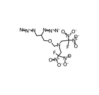 [N-]=[N+]=NCC(COCN(CC(F)([N+](=O)[O-])[N+](=O)[O-])CC(F)([N+](=O)[O-])[N+](=O)[O-])N=[N+]=[N-]